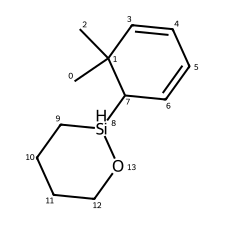 CC1(C)C=CC=CC1[SiH]1CCCCO1